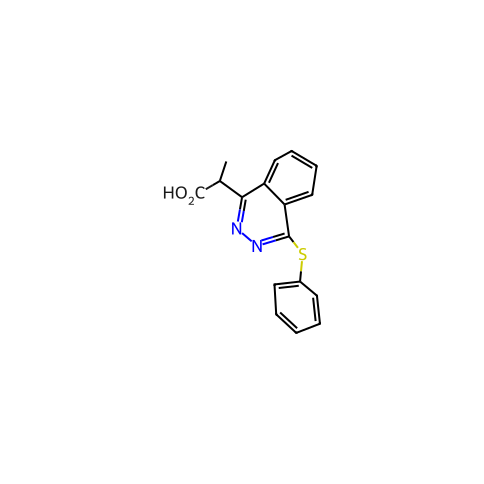 CC(C(=O)O)c1nnc(Sc2ccccc2)c2ccccc12